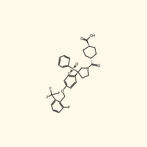 O=C(O)[C@H]1CC[C@H](C(=O)N2CC[C@](c3ccc(OCc4c(F)cccc4C(F)(F)F)cc3)(S(=O)(=O)c3ccccc3)C2)CC1